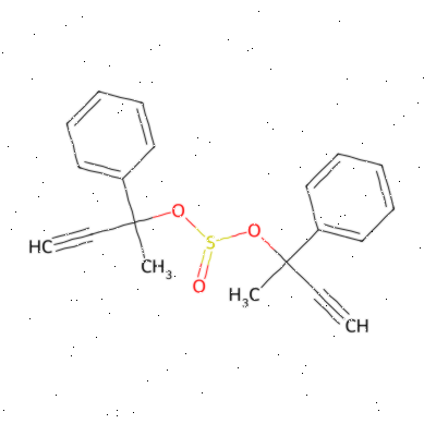 C#CC(C)(OS(=O)OC(C)(C#C)c1ccccc1)c1ccccc1